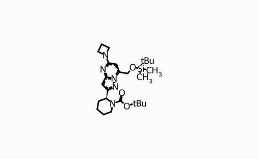 CC(C)(C)OC(=O)N1CCCC[C@H]1c1cc2nc(N3CCC3)cc(CO[Si](C)(C)C(C)(C)C)n2n1